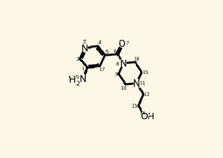 Nc1cncc(C(=O)N2CCN(CCO)CC2)c1